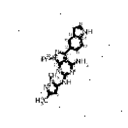 Cc1cc(Nc2nc(N)c3c(-c4ccc5[nH]ccc5c4)nn(C(C)C)c3n2)n(C)n1